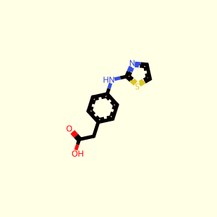 O=C(O)Cc1ccc(Nc2nccs2)cc1